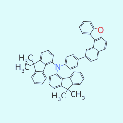 CC1(C)c2ccccc2-c2c(N(c3ccc(-c4ccc5ccc6oc7ccccc7c6c5c4)cc3)c3cccc4c3-c3ccccc3C4(C)C)cccc21